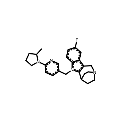 CC1CCCN1c1ccc(Cn2c3c(c4cc(F)ccc42)CN2CCC3CC2)cn1